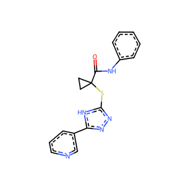 O=C(Nc1ccccc1)C1(Sc2nnc(-c3cccnc3)[nH]2)CC1